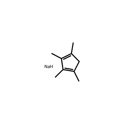 CC1=C(C)C(C)=C(C)C1.[NaH]